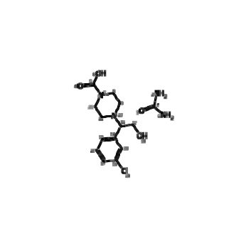 NC(N)=O.O=C(O)N1CCN(C(CO)c2cccc(Cl)c2)CC1